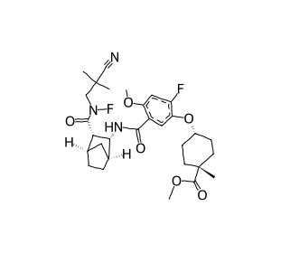 COc1cc(F)c(O[C@H]2CC[C@@](C)(C(=O)OC)CC2)cc1C(=O)N[C@@H]1[C@H]2CC[C@H](C2)[C@@H]1C(=O)N(F)CC(C)(C)C#N